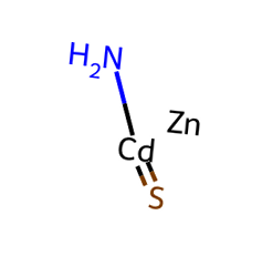 [NH2][Cd]=[S].[Zn]